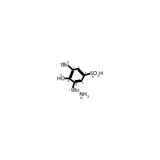 CC(C)(C)c1cc(S(=O)(=O)O)cc(C(C)(C)C)c1O.N